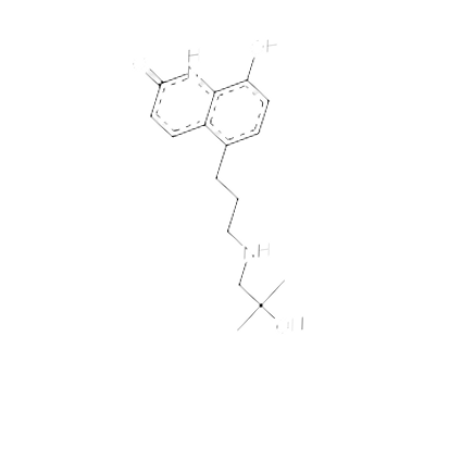 CC(C)(O)CNCCCc1ccc(O)c2[nH]c(=O)ccc12